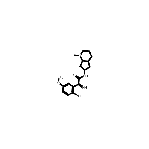 CN1CCCC2CC(NC(=O)C(=N)c3cc(OC(F)(F)F)ccc3N)CC21